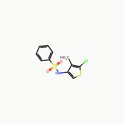 O=C(O)c1c(NS(=O)(=O)c2ccccc2)csc1Cl